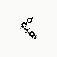 CC1CCN(c2ccc(=O)n(CC(=O)Nc3ccc4ocnc4c3)n2)CC1